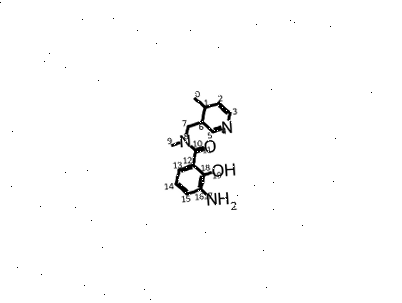 CC1C=CN=CC1CN(C)C(=O)c1cccc(N)c1O